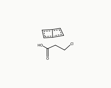 O=C(O)CCCl.c1cc2ccc1-2